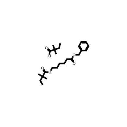 CCC(C)(C)C(=O)Cl.CCC(C)(C)C(=O)OCCCCCC(=O)OCc1ccccc1